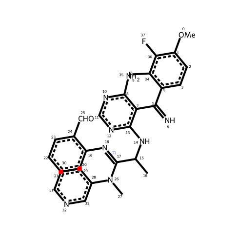 COc1ccc(C(=N)c2c(N)ncnc2NC(C)/C(=N/c2ccccc2C=O)N(C)c2cccnc2)c(F)c1F